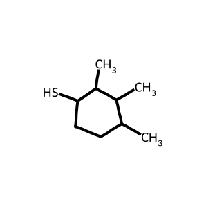 CC1CCC(S)C(C)C1C